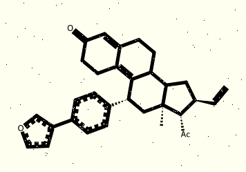 C=C[C@@H]1CC2C3CCC4=CC(=O)CCC4=C3[C@@H](c3ccc(-c4ccoc4)cc3)C[C@]2(C)[C@H]1C(C)=O